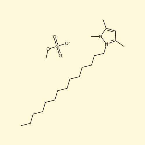 CCCCCCCCCCCCCC[n+]1c(C)cc(C)n1C.COS(=O)(=O)[O-]